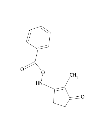 CC1=C(NOC(=O)c2ccccc2)CCC1=O